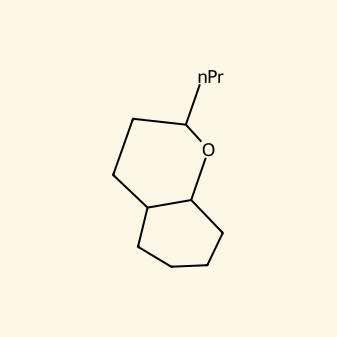 [CH2]CCC1CCC2CCCCC2O1